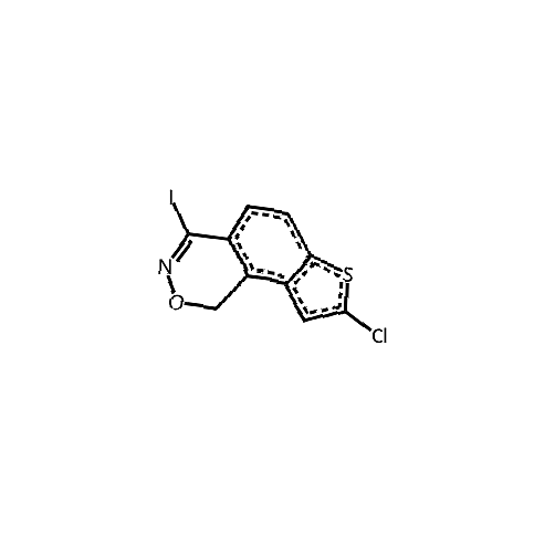 Clc1cc2c3c(ccc2s1)C(I)=NOC3